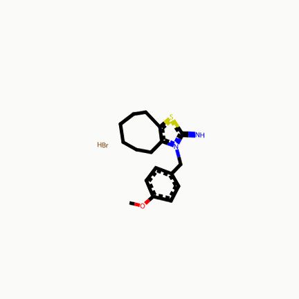 Br.COc1ccc(Cn2c3c(sc2=N)CCCCCC3)cc1